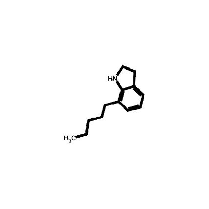 CCCCCc1cccc2c1NCC2